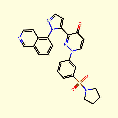 O=c1ccn(-c2cccc(S(=O)(=O)N3CCCC3)c2)nc1-c1ccnn1-c1cccc2cnccc12